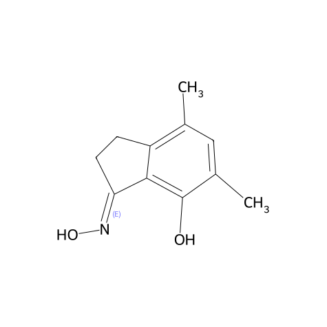 Cc1cc(C)c2c(c1O)/C(=N/O)CC2